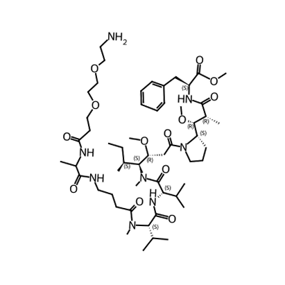 CC[C@H](C)[C@@H]([C@@H](CC(=O)N1CCC[C@H]1[C@H](OC)[C@@H](C)C(=O)N[C@@H](Cc1ccccc1)C(=O)OC)OC)N(C)C(=O)[C@@H](NC(=O)[C@H](C(C)C)N(C)C(=O)CCCNC(=O)C(C)NC(=O)CCOCCOCCN)C(C)C